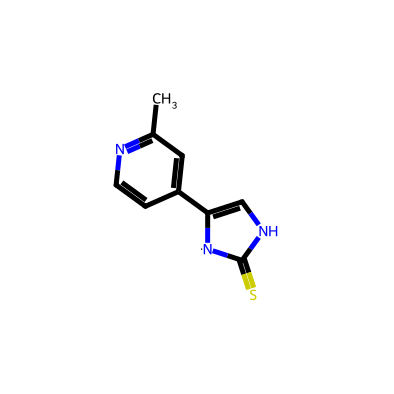 Cc1cc(C2=CNC(=S)[N]2)ccn1